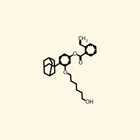 C=Cc1ccccc1C(=O)Oc1ccc(C23CC4CC(CC(C4)C2)C3)c(OCCCCCCO)c1